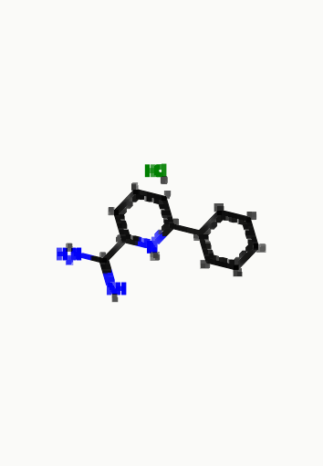 Cl.N=C(N)c1cccc(-c2ccccc2)n1